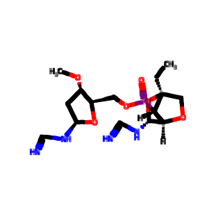 CC[C@@]12CO[C@@H]([C@H](NC=N)O1)[C@@H]2[PH](=O)OC[C@H]1O[C@@H](NC=N)C[C@@H]1OC